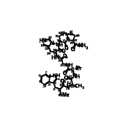 CN[C@@H](Cc1c[nH]c2ccccc12)C(=O)N[C@@H](C)C(=O)N[C@H](C(=O)NCC(=O)N[C@@H](Cc1c[nH]cn1)C(=O)N[C@@H](CC(C)C)C(=O)N1CSC[C@H]1C(N)=O)C(C)C